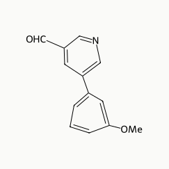 COc1cccc(-c2cncc(C=O)c2)c1